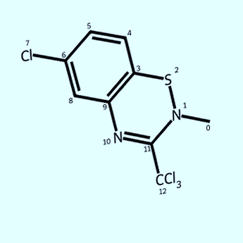 CN1Sc2ccc(Cl)cc2N=C1C(Cl)(Cl)Cl